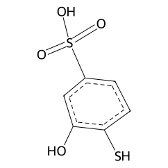 O=S(=O)(O)c1ccc(S)c(O)c1